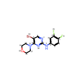 Fc1ccc(Nc2ncc(Br)c(N3CCOCC3)n2)cc1F